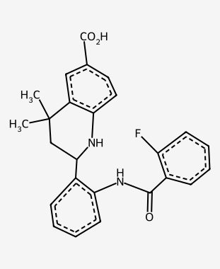 CC1(C)CC(c2ccccc2NC(=O)c2ccccc2F)Nc2ccc(C(=O)O)cc21